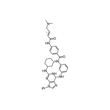 CC(C)n1cnc2c1N=C(NC1CCCCC1)NC2Nc1cccc(NC(=O)c2ccc(NC(=O)/C=C/CN(C)C)cc2)c1